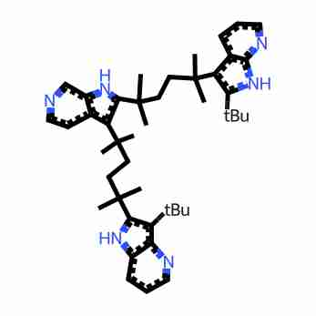 CC(C)(C)c1[nH]c2ncccc2c1C(C)(C)CCC(C)(C)c1[nH]c2cnccc2c1C(C)(C)CCC(C)(C)c1[nH]c2cccnc2c1C(C)(C)C